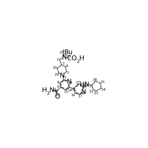 CC(C)(C)N(CC1CCN(c2cc(C(N)=O)cc(-c3ccnc(NC4CCCCC4)c3)n2)CC1)C(=O)O